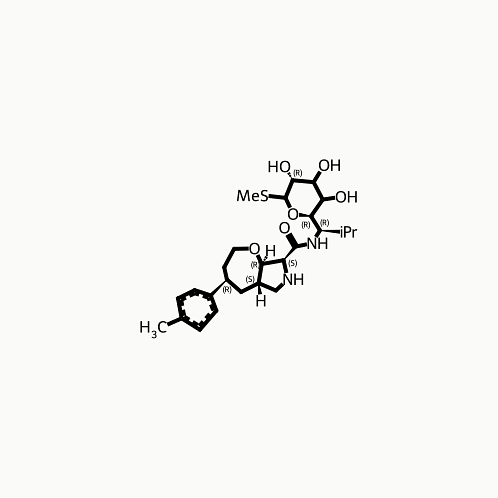 CSC1O[C@H]([C@H](NC(=O)[C@H]2NC[C@@H]3C[C@@H](c4ccc(C)cc4)CCO[C@H]32)C(C)C)C(O)C(O)[C@H]1O